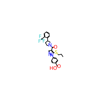 CCCSc1c(C(=O)N2CCC(c3ccccc3C(F)(F)F)C2)cnn1-c1ccc(C(=O)O)cc1